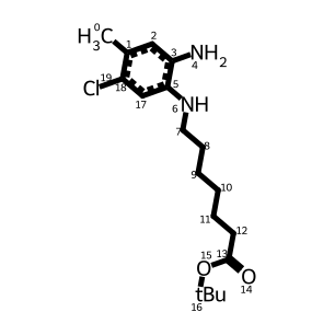 Cc1cc(N)c(NCCCCCCC(=O)OC(C)(C)C)cc1Cl